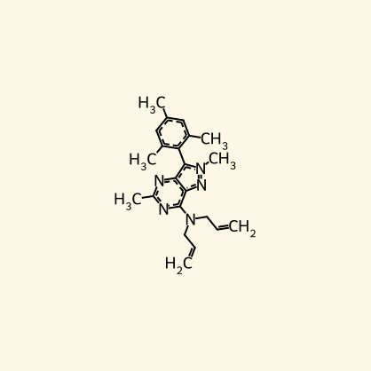 C=CCN(CC=C)c1nc(C)nc2c(-c3c(C)cc(C)cc3C)n(C)nc12